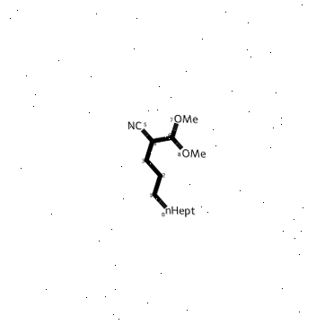 CCCCCCCCCCC(C#N)C(OC)OC